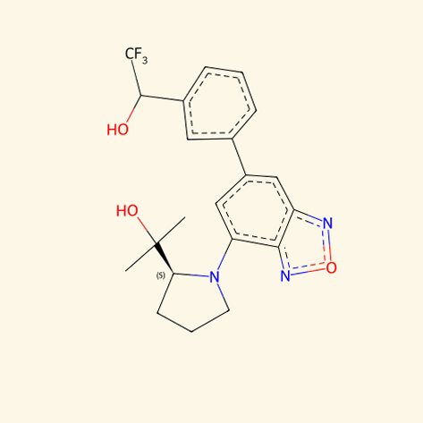 CC(C)(O)[C@@H]1CCCN1c1cc(-c2cccc(C(O)C(F)(F)F)c2)cc2nonc12